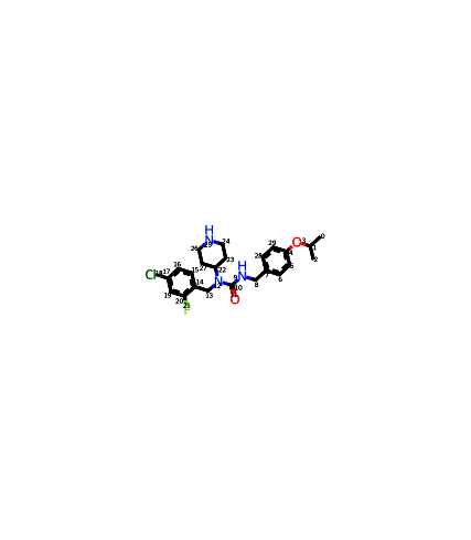 CC(C)Oc1ccc(CNC(=O)N(Cc2ccc(Cl)cc2F)C2CCNCC2)cc1